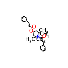 CC1(C)CC(OC(=O)C=Cc2ccccc2)CC(C)(C)N1C(=O)C=Cc1ccccc1